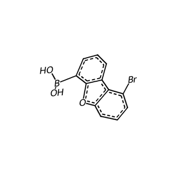 OB(O)c1cccc2c1oc1cccc(Br)c12